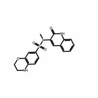 CN(c1cc2ccccc2[nH]c1=O)S(=O)(=O)c1ccc2c(c1)OCCN2